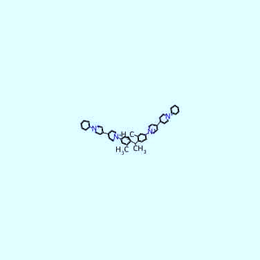 Cc1cc(-[n+]2ccc(-c3cc[n+](-c4ccccc4)cc3)cc2)ccc1C(C)c1ccc(-[n+]2ccc(-c3cc[n+](-c4ccccc4)cc3)cc2)cc1C